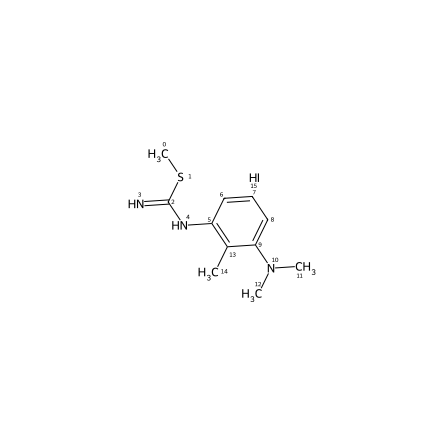 CSC(=N)Nc1cccc(N(C)C)c1C.I